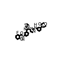 O=C(Nc1cccc(-c2nc3sccn3c2-c2ccnc(Nc3cccc(N4CCOCC4=O)c3)n2)c1)c1c(F)cccc1Cl